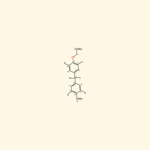 COCOc1c(C)cc(C(C)(C)c2cc(C)c(OC)c(C)c2)cc1C